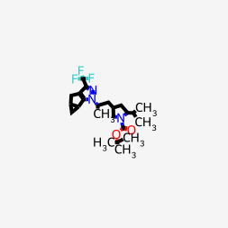 CC(C)C1CC(CC(C)n2nc(C(F)(F)F)c3c2C2CC2C3)CN1C(=O)OC(C)(C)C